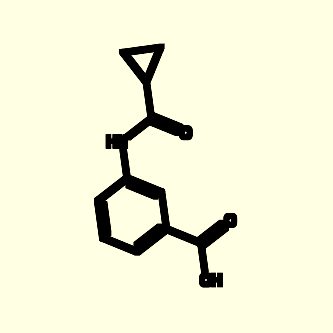 O=C(O)c1cccc(NC(=O)C2CC2)c1